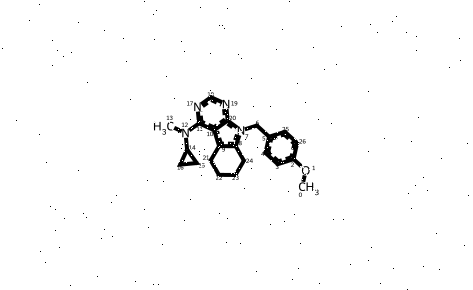 COc1ccc(Cn2c3c(c4c(N(C)C5CC5)ncnc42)CCCC3)cc1